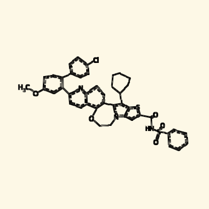 COc1ccc(-c2ccc(Cl)cc2)c(-c2ccc3c4c(ccc3n2)-c2c(C3CCCCC3)c3sc(C(=O)NS(=O)(=O)c5ccccc5)cc3n2CCO4)c1